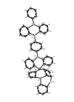 c1ccc(N2c3ccccc3N(c3ccc(B4c5ccccc5C5(c6ccccc64)c4ccccc4B4c6ccccc6Sc6cccc5c64)cc3)c3ccccc32)cc1